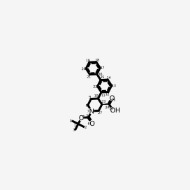 CC(C)(C)OC(=O)N1CCC(c2cccc(-c3ccccc3)c2)[C@@H](C(=O)O)C1